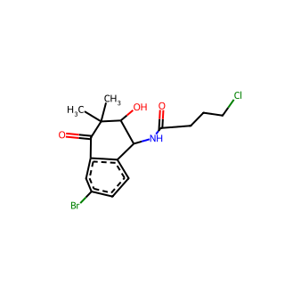 CC1(C)C(=O)c2cc(Br)ccc2C(NC(=O)CCCCl)C1O